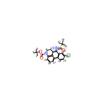 CC(C)(C)OC(=O)N1CCC([C@H](N[S@@+]([O-])C(C)(C)C)c2cc(Cl)ccc2-c2ccccc2)CC1